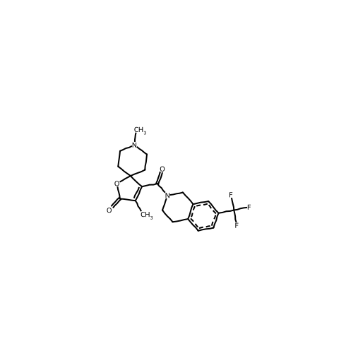 CC1=C(C(=O)N2CCc3ccc(C(F)(F)F)cc3C2)C2(CCN(C)CC2)OC1=O